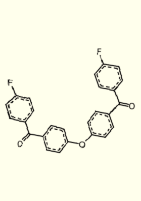 O=C(c1ccc(F)cc1)c1ccc(Oc2ccc(C(=O)c3ccc(F)cc3)cc2)cc1